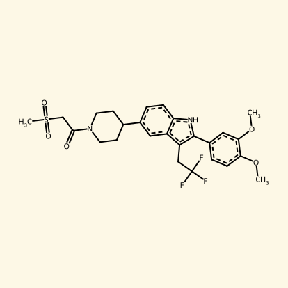 COc1ccc(-c2[nH]c3ccc(C4CCN(C(=O)CS(C)(=O)=O)CC4)cc3c2CC(F)(F)F)cc1OC